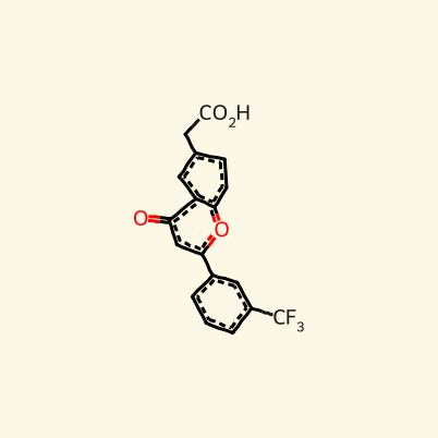 O=C(O)Cc1ccc2oc(-c3cccc(C(F)(F)F)c3)cc(=O)c2c1